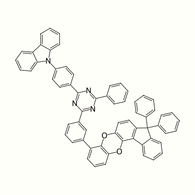 c1ccc(-c2nc(-c3ccc(-n4c5ccccc5c5ccccc54)cc3)nc(-c3cccc(-c4cccc5c4Oc4ccc6c(c4O5)-c4ccccc4C6(c4ccccc4)c4ccccc4)c3)n2)cc1